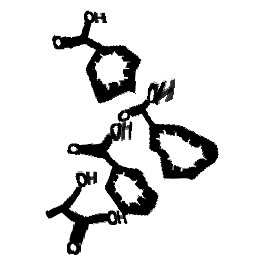 CC(O)C(=O)O.O=C(O)c1ccccc1.O=C(O)c1ccccc1.O=C(O)c1ccccc1